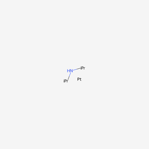 CC(C)NC(C)C.[Pt]